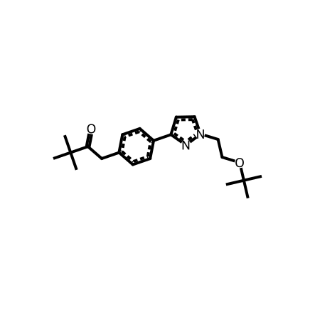 CC(C)(C)OCCn1ccc(-c2ccc(CC(=O)C(C)(C)C)cc2)n1